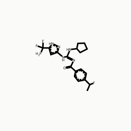 CC(F)c1ccc(C(=O)/N=C(\Nc2cc(C(F)(F)P)[nH]n2)NC2CCCC2)cc1